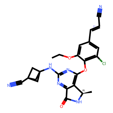 CCOc1cc(/C=C/C#N)cc(Cl)c1Oc1nc(NC23CC(C#N)(C2)C3)nc2c1[C@@H](C)NC2=O